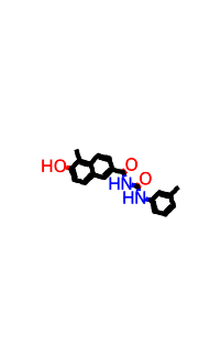 Cc1cccc(NC(=O)NC(=O)c2ccc3c(C)c(O)ccc3c2)c1